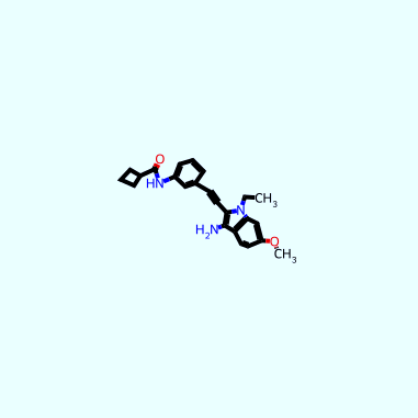 CCn1c(C#Cc2cccc(NC(=O)C3CCC3)c2)c(N)c2ccc(OC)cc21